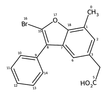 Cc1cc(CC(=O)O)cc2c(-c3ccccc3)c(Br)oc12